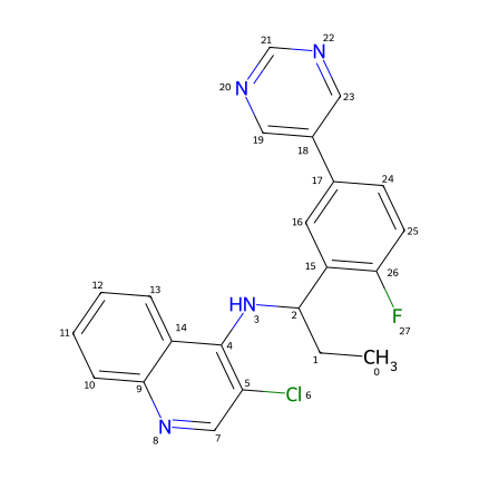 CCC(Nc1c(Cl)cnc2ccccc12)c1cc(-c2cncnc2)ccc1F